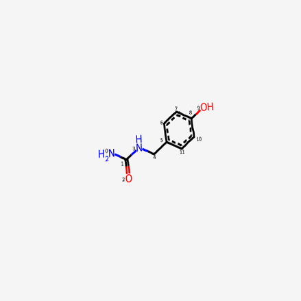 NC(=O)NCc1c[c]c(O)cc1